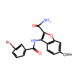 COc1ccc2c(NC(=O)c3cccc(Br)c3)c(C(N)=O)oc2c1